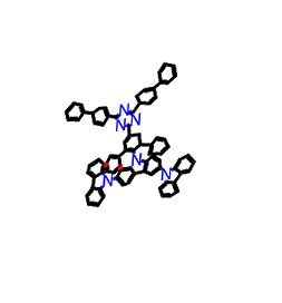 C1=CC(c2nc(C3=CCC(c4ccccc4)C=C3)nc(C3=CC(c4ccccc4)=C(n4c5ccc(-n6c7ccccc7c7ccccc76)cc5c5ccc(-n6c7ccccc7c7ccccc76)cc54)C(c4ccccc4)C3)n2)CC=C1c1ccccc1